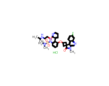 CC(C)NCCOc1ncccc1-c1c(NS(=O)(=O)N(C)C)cccc1OC1CC2(C1)C(=O)N(C)c1cnc3cc(F)ccc3c12.Cl